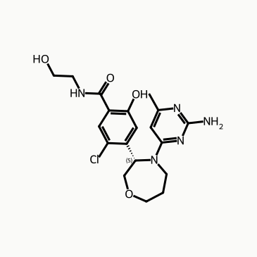 Cc1cc(N2CCCOC[C@@H]2c2cc(O)c(C(=O)NCCO)cc2Cl)nc(N)n1